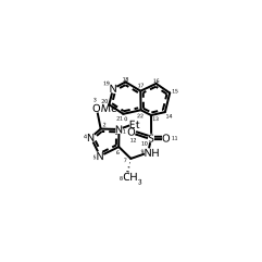 CCn1c(OC)nnc1[C@@H](C)NS(=O)(=O)c1cccc2cnccc12